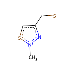 C[n+]1nc(C[S])cs1